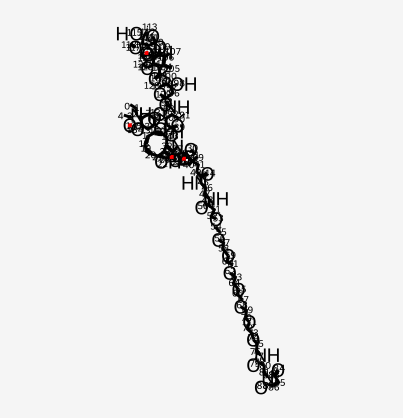 CCN(C(C)=O)[C@H]1CO[C@@H](O[C@H]2[C@H](O[C@H]3C#CC=CC#C[C@]4(O)CC(=O)C(NC(=O)OC)=C3/C4=C\CSSC(C)(C)CCC(=O)NCCNC(=O)CCOCCOCCOCCOCCOCCOCCOCCOCCNC(=O)CCN3C(=O)C=CC3=O)O[C@H](C)[C@@H](NO[C@H]3C[C@H](O)[C@H](SC(=O)c4c(C)c(I)c(O[C@@H]5O[C@@H](C)[C@H](O)[C@@H](OC)[C@H]5O)c(OC)c4OC)[C@@H](C)O3)[C@@H]2O)C[C@@H]1OC